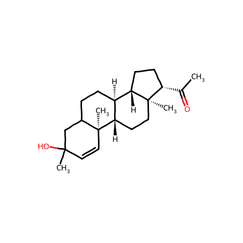 CC(=O)[C@H]1CC[C@H]2[C@@H]3CCC4CC(C)(O)C=C[C@]4(C)[C@H]3CC[C@]12C